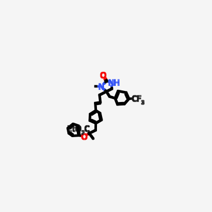 CCOC(=O)C(C)(Cc1ccc(C=CCC2(Cc3ccc(C(F)(F)F)cc3)CNC(=O)N2C)cc1)Oc1ccccc1